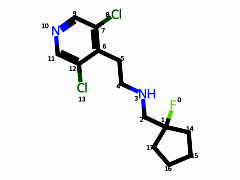 FC1(CNCCc2c(Cl)cncc2Cl)CCCC1